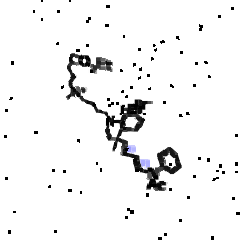 Br.CCOC(=O)CCC[N+](C)(C)CCCCN1C=CC(C)(/C=C/C=C/N(C(C)=O)c2ccccc2)c2ccccc21.[Br-]